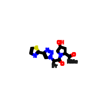 CNC(=O)C1CC(O)CN1C(=O)C(C(C)C)n1cc(-c2nccs2)nn1